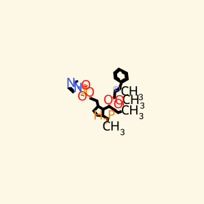 CCOC(P)(CC)C(OC(=O)/C=C(\C)c1ccccc1)C1C(CC)CCC1CCOS(=O)(=O)n1ccnc1